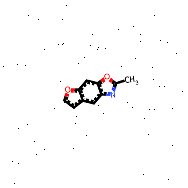 Cc1nc2cc3ccoc3cc2o1